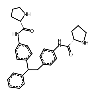 O=C(Nc1ccc(CC(c2ccccc2)c2ccc(NC(=O)[C@@H]3CCCN3)cc2)cc1)[C@@H]1CCCN1